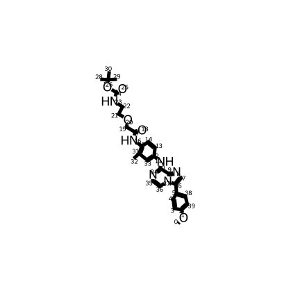 COc1ccc(-c2cnc3c(Nc4ccc(NC(=O)COCCNC(=O)OC(C)(C)C)c(C)c4)nccn23)cc1